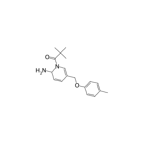 Cc1ccc(OCC2=CN(C(=O)C(C)(C)C)C(N)C=C2)cc1